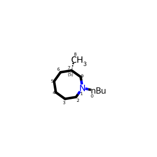 CCCCN1CCCCC[C@H](C)C1